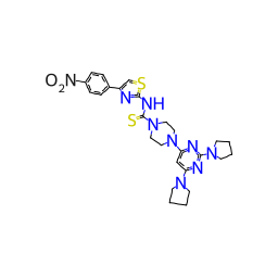 O=[N+]([O-])c1ccc(-c2csc(NC(=S)N3CCN(c4cc(N5CCCC5)nc(N5CCCC5)n4)CC3)n2)cc1